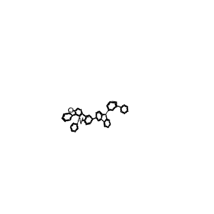 c1ccc(-c2cccc(C3c4ccccc4-c4cc(-c5ccc6c(c5)c5ccc7oc8ccccc8c7c5n6-c5ccccc5)ccc43)c2)cc1